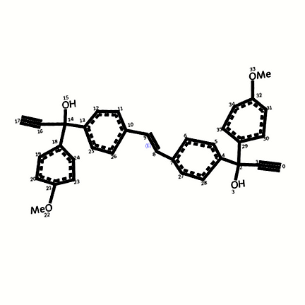 C#CC(O)(c1ccc(/C=C/c2ccc(C(O)(C#C)c3ccc(OC)cc3)cc2)cc1)c1ccc(OC)cc1